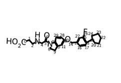 O=C(O)CCNCC(=O)N1CCc2cc(OCc3ccc(C4CCCCC4)c(F)c3)ccc21